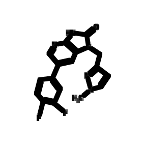 Cn1ccc(Cn2c(=O)[nH]c3ncc(-c4ccc(F)c(F)c4)cc32)n1